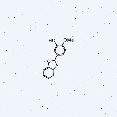 COc1ccc(C2OC3=CC=CCC3S2)cc1O